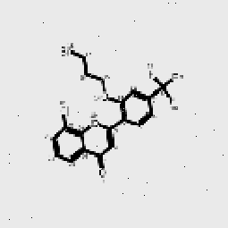 O=c1cc(-c2ccc(C(F)(F)F)cc2OCCCBr)oc2c(Cl)cccc12